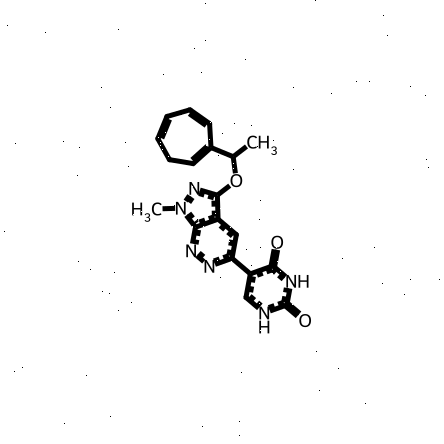 CC(Oc1nn(C)c2nnc(-c3c[nH]c(=O)[nH]c3=O)cc12)C1=CCC=CC=C1